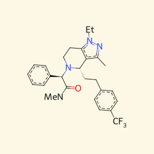 CCn1nc(C)c2c1CCN([C@@H](C(=O)NC)c1ccccc1)[C@H]2CCc1ccc(C(F)(F)F)cc1